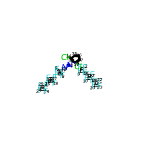 F[B-](F)(F)F.F[B-](F)(F)F.F[B-](F)(F)F.F[B-](F)(F)F.F[B-](F)(F)F.F[B-](F)(F)F.N#[N+]c1c(Cl)cccc1Cl